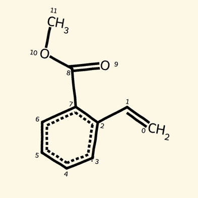 C=Cc1[c]cccc1C(=O)OC